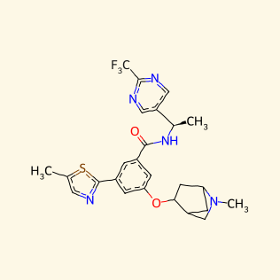 Cc1cnc(-c2cc(OC3CC4CC3CN4C)cc(C(=O)N[C@H](C)c3cnc(C(F)(F)F)nc3)c2)s1